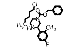 CCCCCCl.Cc1cc(F)ccc1C1CN(C(=O)OCc2ccccc2)CCN1